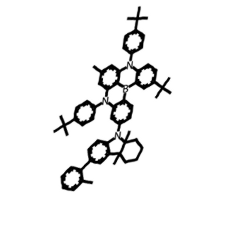 Cc1cc2c3c(c1)N(c1ccc(C(C)(C)C)cc1)c1cc(N4c5ccc(-c6ccccc6C)cc5C5(C)CCCCC45C)ccc1B3c1cc(C(C)(C)C)ccc1N2c1ccc(C(C)(C)C)cc1